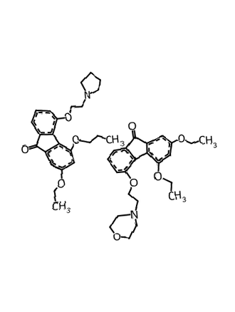 CCCOc1cc(OCC)cc2c1-c1c(OCCN3CCCC3)cccc1C2=O.CCOc1cc(OCC)c2c(c1)C(=O)c1cccc(OCCN3CCOCC3)c1-2